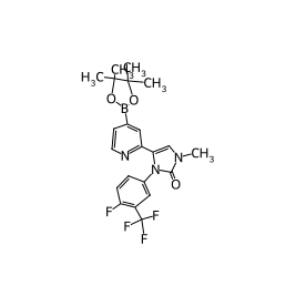 Cn1cc(-c2cc(B3OC(C)(C)C(C)(C)O3)ccn2)n(-c2ccc(F)c(C(F)(F)F)c2)c1=O